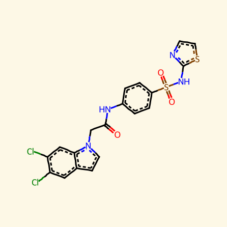 O=C(Cn1ccc2cc(Cl)c(Cl)cc21)Nc1ccc(S(=O)(=O)Nc2nccs2)cc1